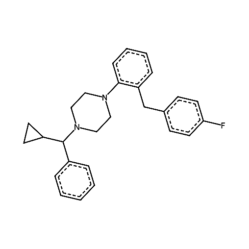 Fc1ccc(Cc2ccccc2N2CCN(C(c3ccccc3)C3CC3)CC2)cc1